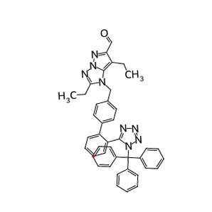 CCc1c(C=O)nn2nc(CC)n(Cc3ccc(-c4ccccc4-c4nnnn4C(c4ccccc4)(c4ccccc4)c4ccccc4)cc3)c12